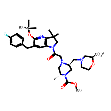 C[C@@H]1CN(CC(=O)N2CC(C)(C)c3nc(O[Si](C)(C)C(C)(C)C)c(Cc4ccc(F)cc4)cc32)[C@@H](CN2CCO[C@H](C(=O)O)C2)CN1C(=O)OC(C)(C)C